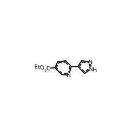 CCOC(=O)c1ccc(-c2cn[nH]c2)nc1